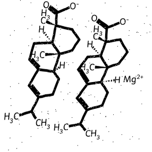 CC(C)C1=CC2=CC[C@@H]3[C@](C)(CCC[C@@]3(C)C(=O)[O-])[C@H]2CC1.CC(C)C1=CC2=CC[C@@H]3[C@](C)(CCC[C@@]3(C)C(=O)[O-])[C@H]2CC1.[Mg+2]